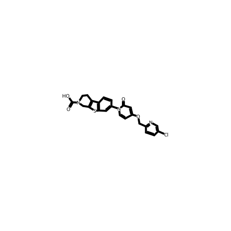 O=C(O)N1CCc2c(sc3cc(-n4ccc(OCc5ccc(Cl)cn5)cc4=O)ccc23)C1